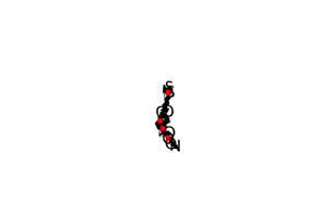 C=NOCOC(=O)[C@@H](C)c1ccc2cc(OC(=O)CCCC[C@@H]3CCSS3)ccc2c1